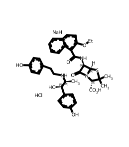 CCOc1ccc2ccccc2c1C(=O)N[C@@H]1C(=O)N2[C@@H]1SC(C)(C)[C@@H]2C(=O)O.C[C@H](NCCc1ccc(O)cc1)[C@H](O)c1ccc(O)cc1.Cl.[NaH]